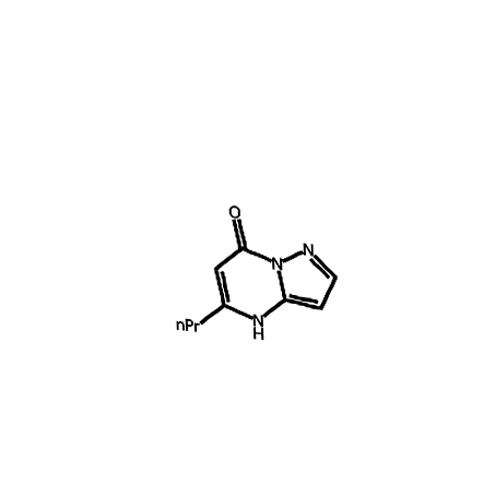 CCCc1cc(=O)n2nccc2[nH]1